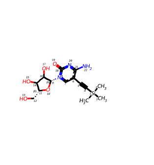 C[Si](C)(C)C#Cc1cn([C@@H]2O[C@H](CO)C(O)C2O)c(=O)nc1N